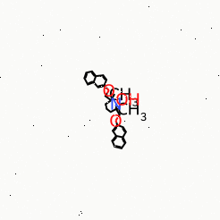 CC1(COc2ccc3ccccc3c2)CCCC(C)(COc2ccc3ccccc3c2)N1O